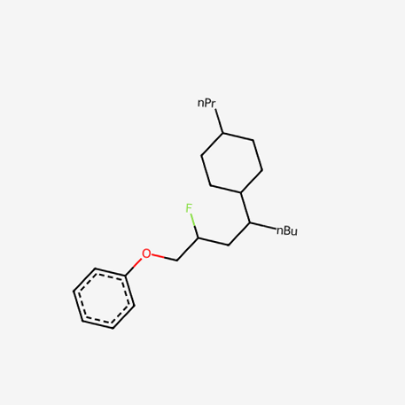 CCCCC(CC(F)COc1ccccc1)C1CCC(CCC)CC1